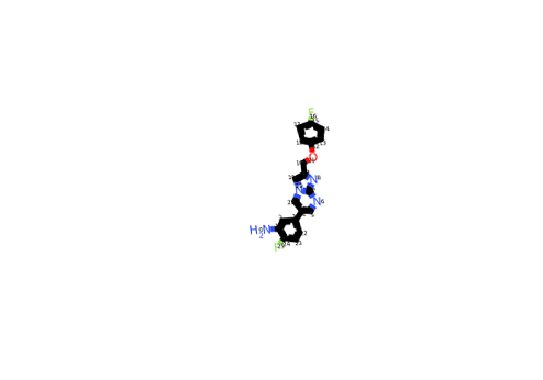 Nc1cc(-c2cnc3nc(COc4ccc(F)cc4)cn3c2)ccc1F